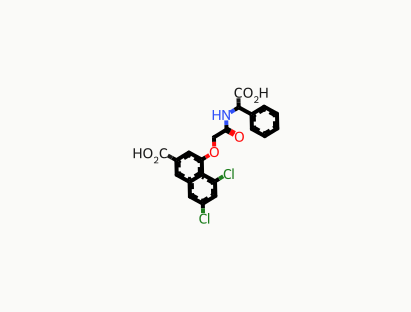 O=C(COc1cc(C(=O)O)cc2cc(Cl)cc(Cl)c12)NC(C(=O)O)c1ccccc1